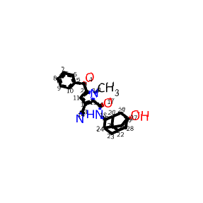 Cn1c(C(=O)c2ccccc2)cc(C#N)c1C(=O)NC1C2CC3CC1CC(O)(C3)C2